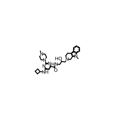 CN1CCN(c2nc(NC3CCC3)cc(C(=O)NCC(O)CN3CCc4c(n(C)c5ccccc45)C3)n2)CC1